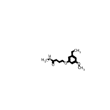 CCc1cc(OC)cc(OCCCC(=O)NC)c1